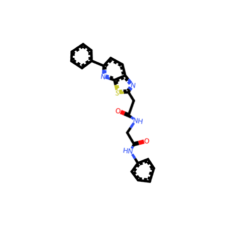 O=C(Cc1nc2ccc(-c3ccccc3)nc2s1)NCC(=O)Nc1ccccc1